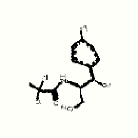 CC(Cl)(Cl)C(=O)N[C@H](CO)[C@H](O)c1ccc([N+](=O)[O-])cc1